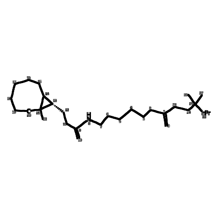 C=C(CCCCCCNC(=C)CC[C@H]1C2CCCCCCC21C)CCC(C)(C)CCC